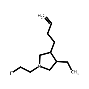 C=CCCC1CN(CCF)CC1CC